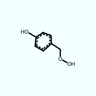 OOCc1ccc(O)cc1